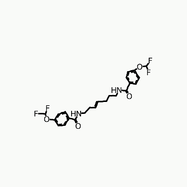 O=C(NCCC=CCCCNC(=O)c1ccc(OC(F)F)cc1)c1ccc(OC(F)F)cc1